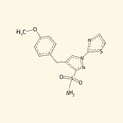 COc1ccc(Cc2cn(-c3nccs3)nc2S(N)(=O)=O)cc1